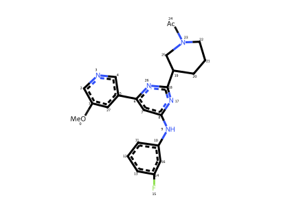 COc1cncc(-c2cc(Nc3cccc(F)c3)nc(C3CCCN(C(C)=O)C3)n2)c1